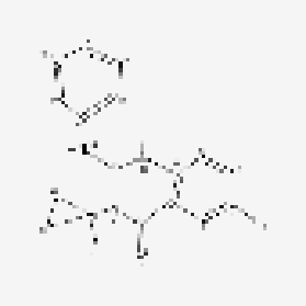 CC1(N2C(=O)c3cc(F)ccc3NC2Nc2cccnc2)CC1